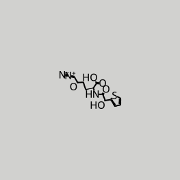 [N-]=[N+]=CC(=O)CC[C@H](NC(=O)[C@H](O)c1cccs1)C(=O)O